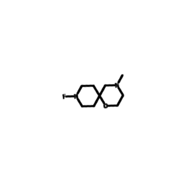 CN1CCOC2(CCN(F)CC2)C1